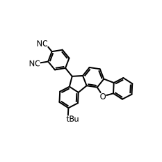 CC(C)(C)c1ccc2c(c1)-c1c(ccc3c1oc1ccccc13)C2c1ccc(C#N)c(C#N)c1